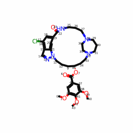 COc1cc(C(=O)O[C@@H]2CCCn3ncc4c(Cl)cc(cc43)C(=O)NCCCN3CCCN(CC2)CC3)cc(OC)c1OC